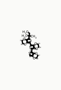 CCC(C)(C)c1sc(-c2sc(-c3scc4c3OCCO4)c3c2OCCO3)c2c1OCCO2